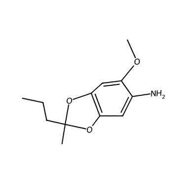 CCCC1(C)Oc2cc(N)c(OC)cc2O1